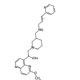 COc1ccc2nccc(C(O)CN3CCCC(CNC/C=C/c4ccccn4)C3)c2n1